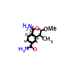 COCC(C)c1cc(C(N)=O)ccc1C(N)=O